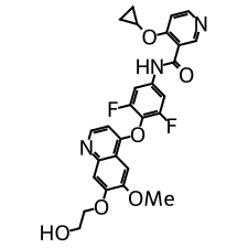 COc1cc2c(Oc3c(F)cc(NC(=O)c4cnccc4OC4CC4)cc3F)ccnc2cc1OCCO